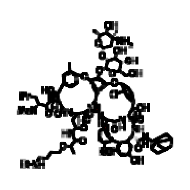 CCNCCCCOC(C)C(=O)NC(=O)C[C@@H]1NC(=O)[C@H](NC(=O)[C@@H](CC(C)C)NC)[C@H](O)c2ccc(c(C)c2)Oc2cc3cc(c2O[C@@H]2O[C@H](CO)[C@@H](O)[C@H](O)[C@H]2O[C@H]2C[C@](C)(N)[C@H](O)[C@H](C)O2)Oc2ccc(cc2Cl)[C@@H](O)[C@@H]2NC(=O)[C@H](NC(=O)[C@@H]3NC1=O)c1ccc(O)c(c1)-c1c(O)cc(O)cc1[C@@H](C(=O)NC1C3CC4CC(C3)CC1C4)NC2=O